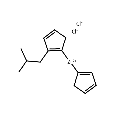 CC(C)CC1=[C]([Zr+2][C]2=CC=CC2)CC=C1.[Cl-].[Cl-]